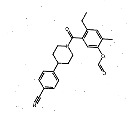 CCc1cc(C)c(OC=O)cc1C(=O)N1CCC(c2ccc(C#N)cc2)CC1